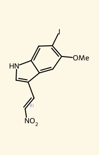 COc1cc2c(/C=C/[N+](=O)[O-])c[nH]c2cc1I